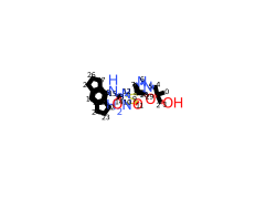 CC1(CO)Cn2ncc(S(N)(=O)=NC(=O)Nc3c4c(cc5c3CCC5)CCC4)c2O1